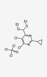 CCOC(OCC)c1nc(C2CC2)nc(Cl)c1Cl.O=P(Cl)(Cl)Cl